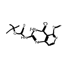 COc1nccc2nc(NC(=O)OC(C)(C)C)[nH]c(=O)c12